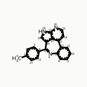 Cc1ccc(C2=Nc3ccccc3-c3ccnc4[nH]cc2c34)cc1